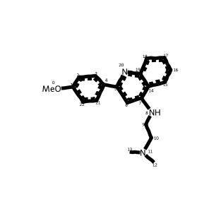 COc1ccc(-c2cc(NCCN(C)C)c3ccccc3n2)cc1